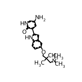 CN(C)CC(C)(C)COc1ccc2[nH]c(-c3cc(N)c[nH]c3=O)cc2c1